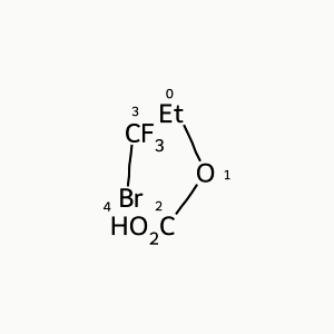 CCOC(=O)O.FC(F)(F)Br